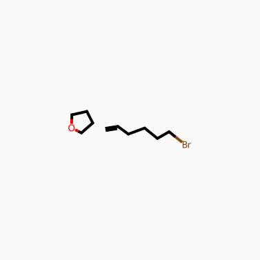 C1CCOC1.C=CCCCCBr